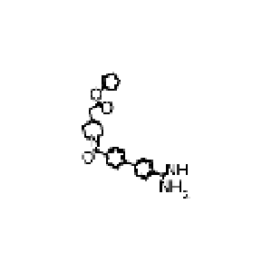 N=C(N)c1ccc(-c2ccc(C(=O)N3CCC(CC(=O)OC4CCCC4)CC3)cc2)cc1